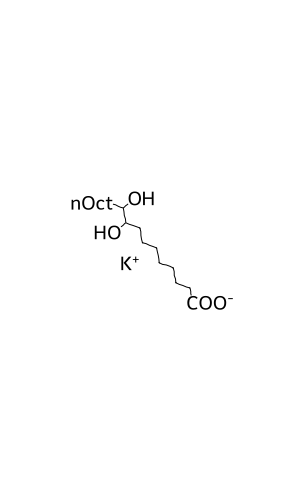 CCCCCCCCC(O)C(O)CCCCCCCC(=O)[O-].[K+]